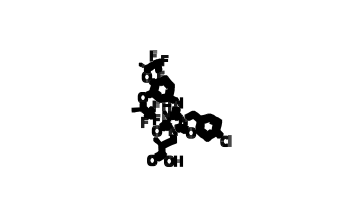 C[C@@H](Cn1c(=O)[nH]/c(=N\c2ccc(O[C@H](C)C(F)(F)F)c(O[C@H](C)C(F)(F)F)c2)n(Cc2ccc(Cl)cc2)c1=O)C(=O)O